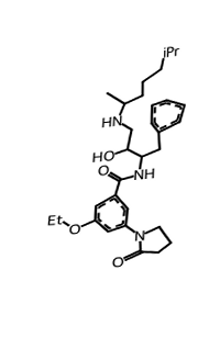 CCOc1cc(C(=O)NC(Cc2ccccc2)C(O)CNC(C)CCCC(C)C)cc(N2CCCC2=O)c1